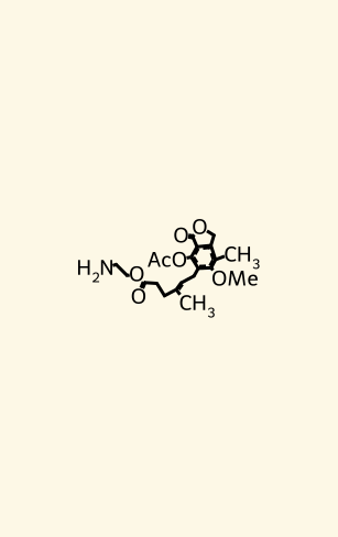 COc1c(C)c2c(c(OC(C)=O)c1C/C=C(\C)CCC(=O)OCCN)C(=O)OC2